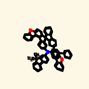 CC1(C)c2ccccc2-c2ccc(N(c3ccc(-c4ccccc4)cc3)c3ccc4c(c3)C3(c5ccccc5-c5ccc(-c6ccc7c(c6)oc6ccccc67)cc53)c3ccc5oc6ccccc6c5c3-4)cc21